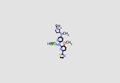 COc1ccc(-c2nccs2)nc1Nc1ccc(N(C)C2CCN(C)C2)cn1.Cl.Cl.Cl